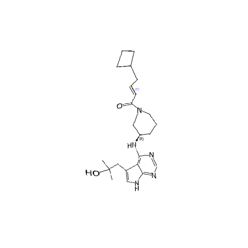 CC(C)(O)Cc1c[nH]c2ncnc(N[C@@H]3CCCN(C(=O)/C=C/CC4CCC4)C3)c12